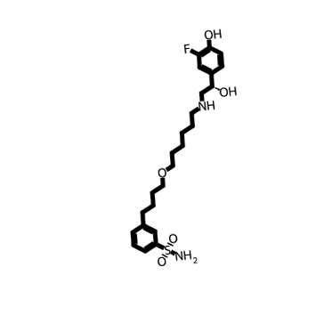 NS(=O)(=O)c1cccc(CCCCOCCCCCCNC[C@@H](O)c2ccc(O)c(F)c2)c1